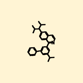 CC(C)c1cc(-c2ccccc2)cc(-c2nccc3cc(C(C(C)C)C(C)C)ccc23)c1